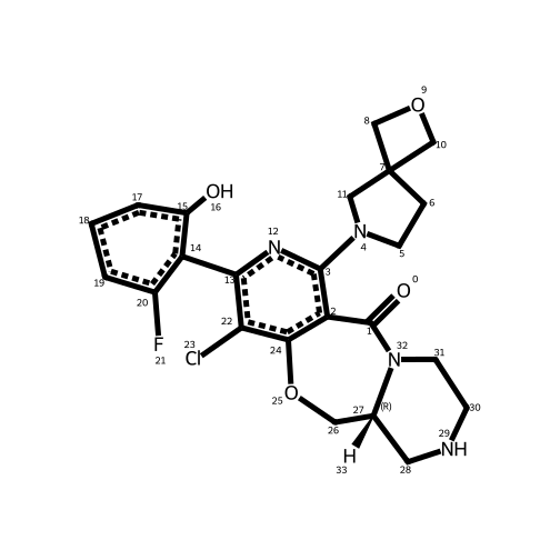 O=C1c2c(N3CCC4(COC4)C3)nc(-c3c(O)cccc3F)c(Cl)c2OC[C@H]2CNCCN12